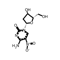 Nc1nc(=O)n([C@@H]2C[C@@H](O)[C@H](CO)O2)cc1[N+](=O)[O-]